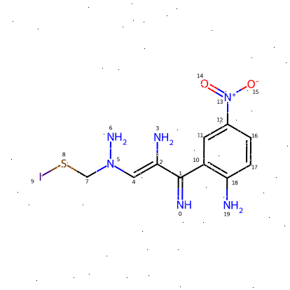 N=C(/C(N)=C/N(N)CSI)c1cc([N+](=O)[O-])ccc1N